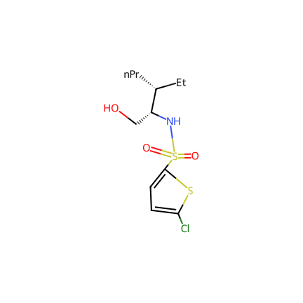 CCC[C@H](CC)[C@@H](CO)NS(=O)(=O)c1ccc(Cl)s1